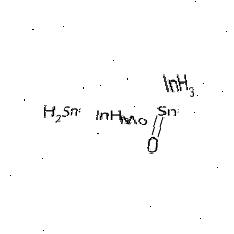 [InH3].[InH3].[Mo].[O]=[Sn].[SnH2]